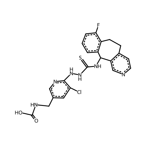 O=C(O)NCc1cnc(NNC(=S)NC2c3cnccc3CCc3c(F)cccc32)c(Cl)c1